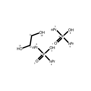 CCCP(=O)(O)CCC.CCCP(=O)(O)CCC.OCCO